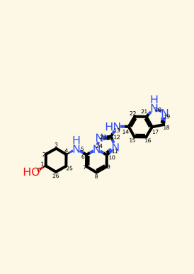 O[C@H]1CC[C@@H](Nc2cccc3nc(Nc4ccc5cn[nH]c5c4)nn23)CC1